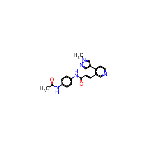 CC(=O)Nc1ccc(NC(=O)C=Cc2cnccc2-c2cnn(C)c2)cc1